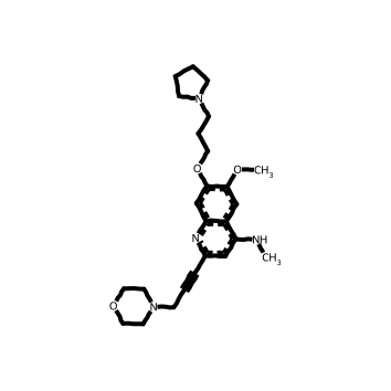 CNc1cc(C#CCN2CCOCC2)nc2cc(OCCCN3CCCC3)c(OC)cc12